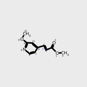 COC(=O)/C=C/c1ccnc(OC)c1